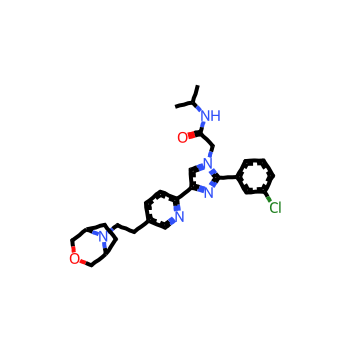 CC(C)NC(=O)Cn1cc(-c2ccc(CCN3C4CCC3COC4)cn2)nc1-c1cccc(Cl)c1